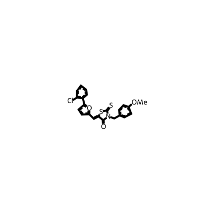 COc1ccc(CN2C(=O)C(=Cc3ccc(-c4ccccc4Cl)o3)SC2=S)cc1